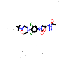 CC(=O)NC[C@H]1CN(c2cc(F)c(N3CCON(C(C)(C)C)CC3)c(F)c2)C(=O)O1